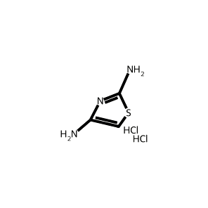 Cl.Cl.Nc1csc(N)n1